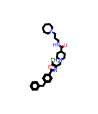 Cc1oc(-c2ccc(Cc3ccccc3)cc2)nc1CN1CCC(C(=O)NCCCN2CCCCCC2)CC1